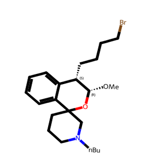 CCCCN1CCCC2(C1)O[C@@H](OC)[C@@H](CCCCBr)c1ccccc12